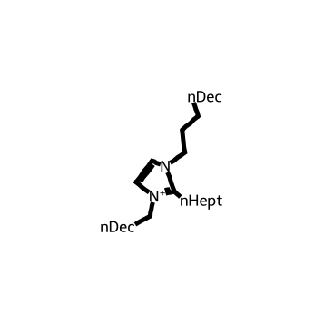 CCCCCCCCCCCCCn1cc[n+](CCCCCCCCCCC)c1CCCCCCC